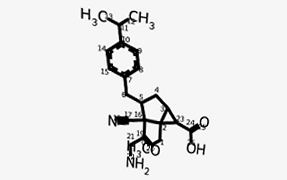 CCC12C(CC(Cc3ccc(C(C)C)cc3)C1(C#N)C(=O)CN)C2C(=O)O